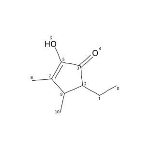 CCC1C(=O)C(O)=C(C)C1C